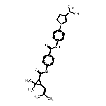 CC(C)=CC1C(C(=O)Nc2ccc(C(=O)Nc3ccc(N4CCC(N(C)C)C4)cc3)cc2)C1(C)C